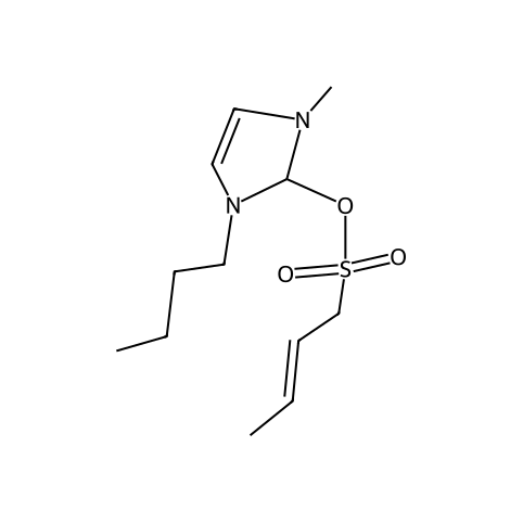 CC=CCS(=O)(=O)OC1N(C)C=CN1CCCC